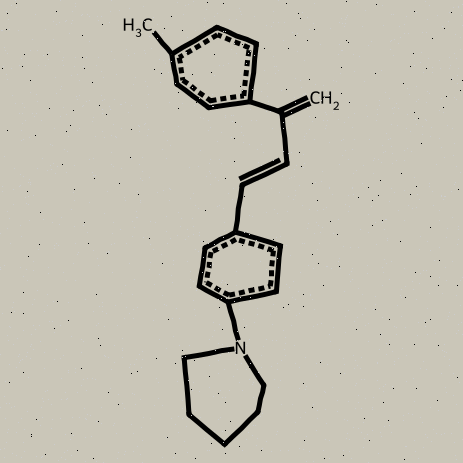 C=C(/C=C/c1ccc(N2CCCCC2)cc1)c1ccc(C)cc1